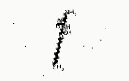 CCCCCCCCCCCCOCC(O)CN[C@@H](CCCCN)C(=O)O